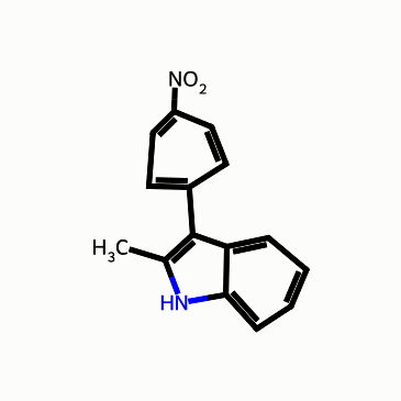 Cc1[nH]c2ccccc2c1-c1ccc([N+](=O)[O-])cc1